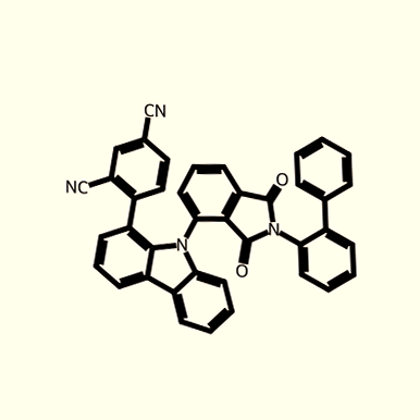 N#Cc1ccc(-c2cccc3c4ccccc4n(-c4cccc5c4C(=O)N(c4ccccc4-c4ccccc4)C5=O)c23)c(C#N)c1